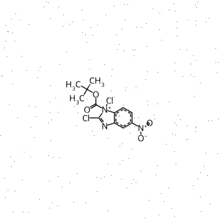 CC(C)(C)OC(=O)[N+]1(Cl)C(Cl)=Nc2cc([N+](=O)[O-])ccc21